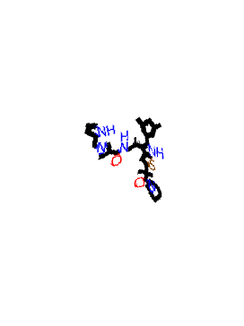 Cc1cc(C)cc(-c2[nH]c3sc(C(C)(C)C(=O)N4C5CCC4CC5)cc3c2[C@H](C)CNC(=O)C2CN(Cc3ccc[nH]3)C2)c1